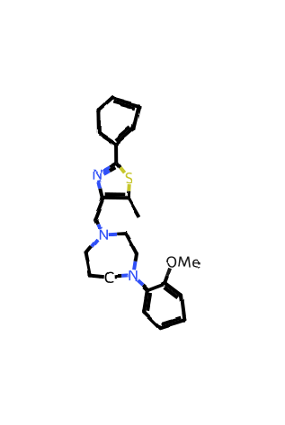 COc1ccccc1N1CCCN(Cc2nc(C3=CC=CCC3)sc2C)CC1